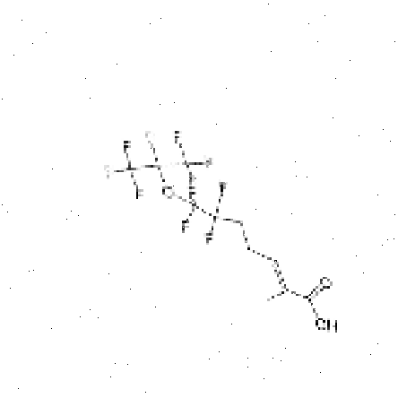 C/C(=C\CCC(F)(F)C(F)(F)OC(F)(C(F)(F)F)C(F)(F)F)C(=O)O